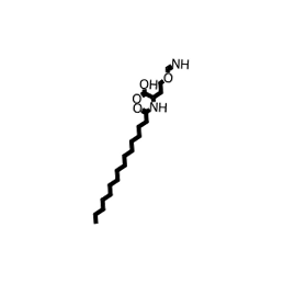 CCCCCCCCCCCCCCCC(=O)NC(CCOC=N)C(=O)O